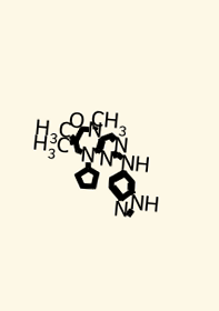 CN1C(=O)C(C)(C)CN(C2CCCC2)c2nc(Nc3ccc4nc[nH]c4c3)ncc21